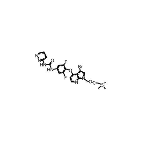 C[Si](C)(C)CCOCn1cc(Br)c2c(Oc3c(F)cc(NC(=O)Nc4cccnn4)cc3F)ccnc21